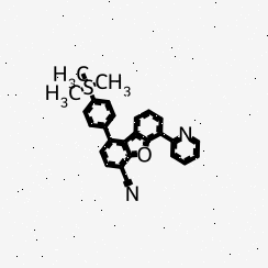 CS(C)(C)c1ccc(-c2ccc(C#N)c3oc4c(-c5ccccn5)cccc4c23)cc1